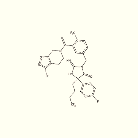 CCc1nnc2n1CCN(C(=O)c1cc(CN3C(=N)N[C@](CCCC(F)(F)F)(c4ccc(F)cc4)C3=O)ccc1C(F)(F)F)C2